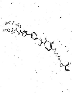 C=CC(=O)OCCCCCCOc1ccc(C(=O)Oc2ccc(-c3ccc(C4O[C@@H](C(=O)OCC)[C@H](C(=O)OCC)O4)cc3)cc2)c(F)c1F